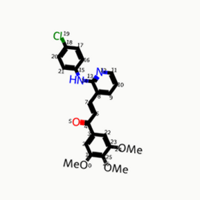 COc1cc(C(=O)C=Cc2cccnc2Nc2ccc(Cl)cc2)cc(OC)c1OC